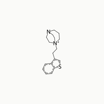 c1ccc2c(CC[N+]34CCCN(CC3)CC4)csc2c1